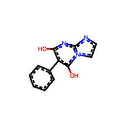 Oc1nc2nccn2c(O)c1-c1ccccc1